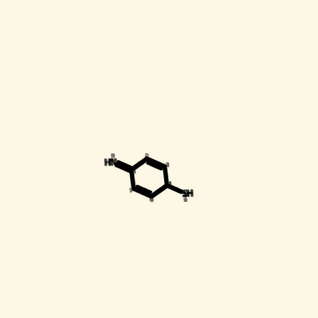 N=C1C=CC(S)C=C1